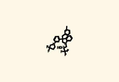 Cc1cccc(CC2(c3cccc(N4CCC(F)(F)C4)c3)CN(C[C@@H](O)C(F)(F)F)c3ccccc32)c1